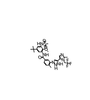 COc1c(NC(=O)c2ccc(C)c(N3C=C(c4cnc(C)n4CC(F)(F)F)NN3)c2)cc(C(C)(C)C)cc1NS(C)(=O)=O